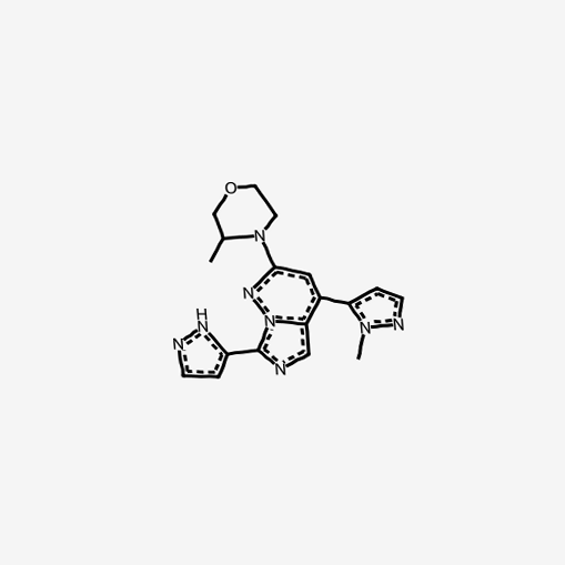 CC1COCCN1c1cc(-c2ccnn2C)c2cnc(-c3ccn[nH]3)n2n1